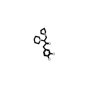 O=C(Cc1ccc(Cl)c(Cl)c1)C(CN1CCCC1)N1CCCCC1